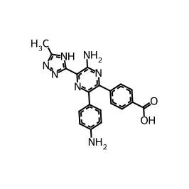 Cc1nnc(-c2nc(-c3ccc(N)cc3)c(-c3ccc(C(=O)O)cc3)nc2N)[nH]1